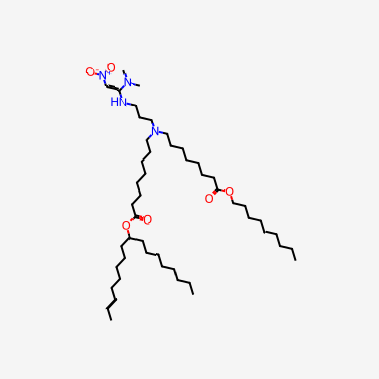 CCCCCCCCCOC(=O)CCCCCCCN(CCCCCCCC(=O)OC(CCCCCCCC)CCCCCCCC)CCCN/C(=C/[N+](=O)[O-])N(C)C